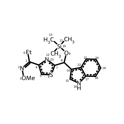 CC/C(=N/OC)c1csc(C(O[Si](C)(C)C)c2c[nH]c3ccccc23)n1